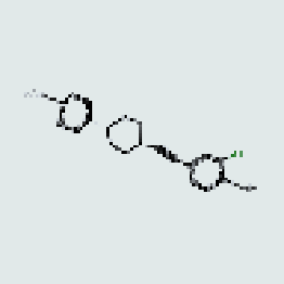 CCCCc1ccc([C@H]2CC[C@H](C#Cc3ccc(CCC)c(Cl)c3)CC2)cc1